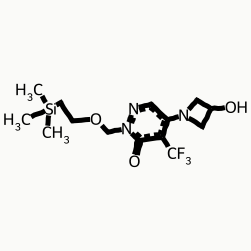 C[Si](C)(C)CCOCn1ncc(N2CC(O)C2)c(C(F)(F)F)c1=O